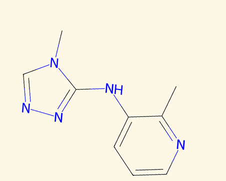 Cc1ncccc1Nc1nncn1C